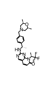 C[C@@H]1CN(Cc2ccc([C@H](C)Nc3ncc4ccc(=O)n([C@@H](C)C(F)(F)F)c4n3)cc2)C[C@H](C)O1